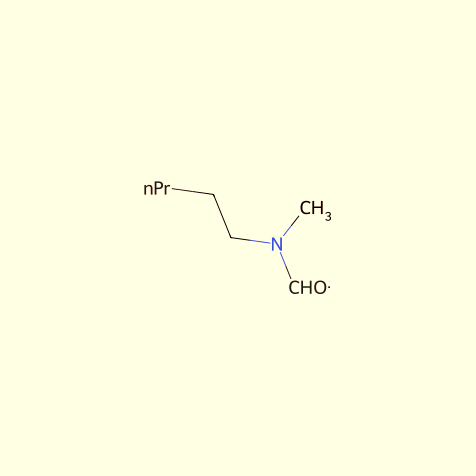 CCCCCN(C)[C]=O